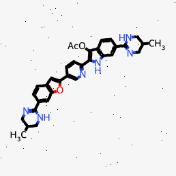 CC(=O)Oc1c(-c2ccc(-c3cc4ccc(C5=NCC(C)CN5)cc4o3)cn2)[nH]c2cc(C3=NCC(C)CN3)ccc12